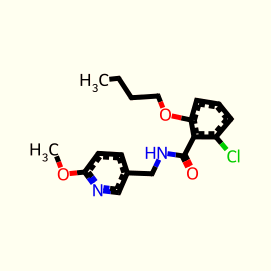 CCCCOc1cccc(Cl)c1C(=O)NCc1ccc(OC)nc1